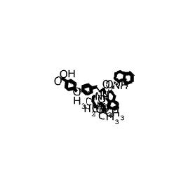 C[C@@H](CN[C@@H](Cc1ccc(Oc2ccc(C(=O)O)cc2)cc1)C(=O)N1Cc2ccccc2C[C@H]1C(=O)N[C@@H]1CCCc2ccccc21)N(C)C(=O)OC(C)(C)C